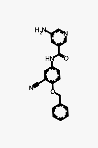 N#Cc1cc(NC(=O)c2cncc(N)c2)ccc1OCc1ccccc1